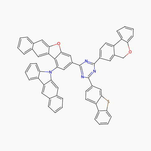 c1ccc2c(c1)OCc1cc(-c3nc(-c4cc(-n5c6ccccc6c6cc7ccccc7cc65)c5c(c4)oc4cc6ccccc6cc45)nc(-c4ccc5c(c4)sc4ccccc45)n3)ccc1-2